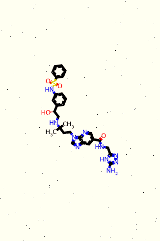 CC(C)(CCn1cnc2cc(C(=O)NCc3nnc(N)[nH]3)cnc21)NC[C@H](O)c1cccc(NS(=O)(=O)c2ccccc2)c1